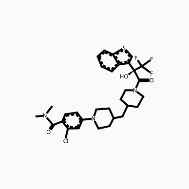 CN(C)C(=O)c1ccc(N2CCC(CC3CCN(C(=O)[C@](O)(c4csc5ccccc45)C(F)(F)F)CC3)CC2)cc1Cl